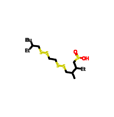 CCC(C)C(CC)CSSCCSSCC(C)C(CC)CS(=O)O